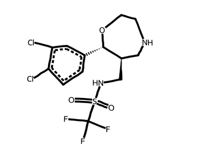 O=S(=O)(NC[C@@H]1CNCCO[C@H]1c1ccc(Cl)c(Cl)c1)C(F)(F)F